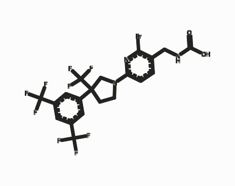 O=C(O)NCc1ccc(N2CCC(c3cc(C(F)(F)F)cc(C(F)(F)F)c3)(C(F)(F)F)C2)nc1Br